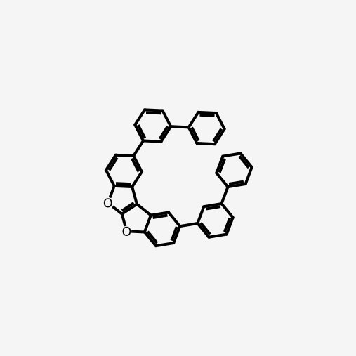 c1ccc(-c2cccc(-c3ccc4oc5oc6ccc(-c7cccc(-c8ccccc8)c7)cc6c5c4c3)c2)cc1